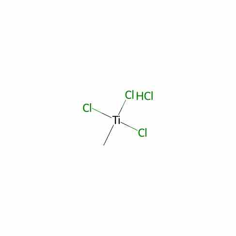 Cl.[CH3][Ti]([Cl])([Cl])[Cl]